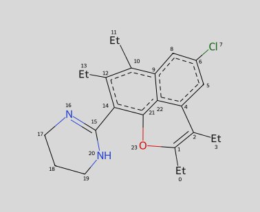 CCC1=C(CC)c2cc(Cl)cc3c(CC)c(CC)c(C4=NCCCN4)c(c23)O1